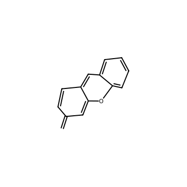 C=c1ccc2c(c1)Oc1ccccc1C=2